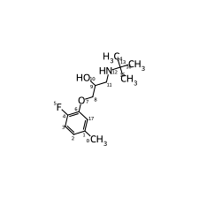 Cc1ccc(F)c(OCC(O)CNC(C)(C)C)c1